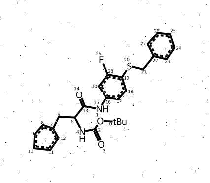 CC(C)(C)OC(=O)NC(Cc1ccccc1)C(=O)Nc1ccc(SCc2ccccc2)c(F)c1